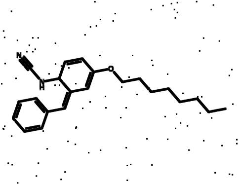 CCCCCCCCOC1=CC(=Cc2ccccc2)C(NC#N)C=C1